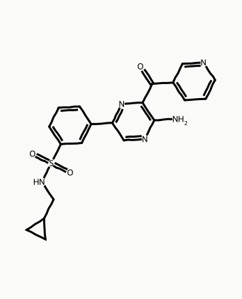 Nc1ncc(-c2cccc(S(=O)(=O)NCC3CC3)c2)nc1C(=O)c1cccnc1